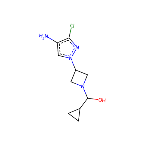 Nc1cn(C2CN(C(O)C3CC3)C2)nc1Cl